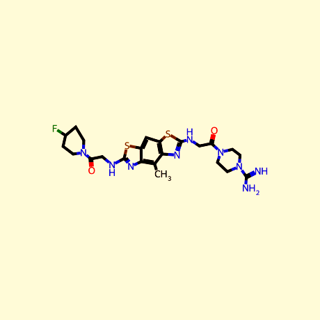 Cc1c2nc(NCC(=O)N3CCC(F)CC3)sc2cc2sc(NCC(=O)N3CCN(C(=N)N)CC3)nc12